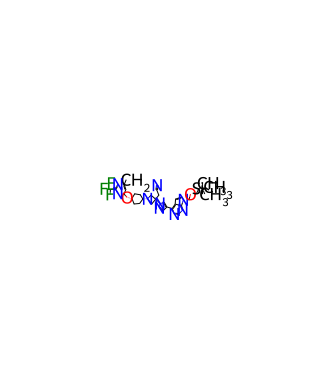 [CH2]c1cc(O[C@H]2CC[C@@H](N3CC(CC#N)(n4cc(-c5ncnc6c5ccn6COCC[Si](C)(C)C)cn4)C3)CC2)nc(C(F)(F)F)n1